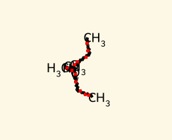 CCCCCCCC/C=C\CCCCCCCCOc1cc(CN(C)C)cc(OCCCCCCCC/C=C\CCCCCCCC)c1